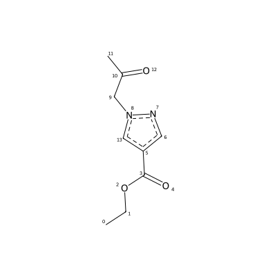 CCOC(=O)c1cnn(CC(C)=O)c1